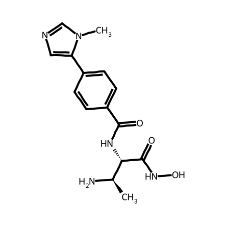 C[C@@H](N)[C@H](NC(=O)c1ccc(-c2cncn2C)cc1)C(=O)NO